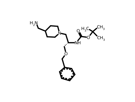 CC(C)(C)OC(=O)N[C@H](COCc1ccccc1)CN1CCC(CN)CC1